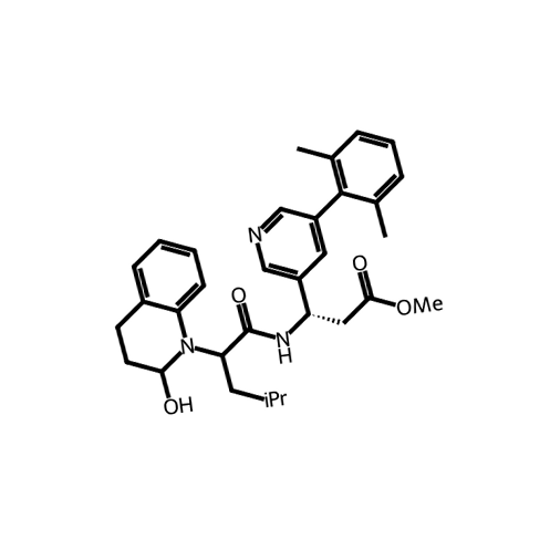 COC(=O)C[C@H](NC(=O)C(CC(C)C)N1c2ccccc2CCC1O)c1cncc(-c2c(C)cccc2C)c1